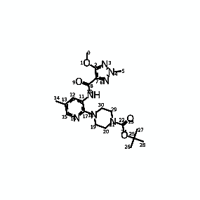 COc1nn(C)nc1C(=O)Nc1cc(C)cnc1N1CCN(C(=O)OC(C)(C)C)CC1